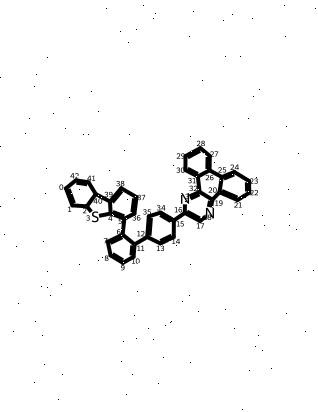 C1=CC2Sc3c(-c4ccccc4-c4ccc(-c5cnc6c7ccccc7c7ccccc7c6n5)cc4)cccc3C2C=C1